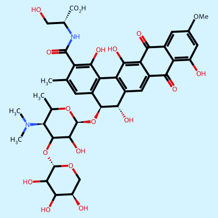 COc1cc(O)c2c(c1)C(=O)c1c(cc3c(c1O)-c1c(cc(C)c(C(=O)N[C@H](CO)C(=O)O)c1O)[C@H](O[C@@H]1OC(C)[C@H](N(C)C)C(O[C@@H]4OC[C@@H](O)C(O)C4O)C1O)[C@H]3O)C2=O